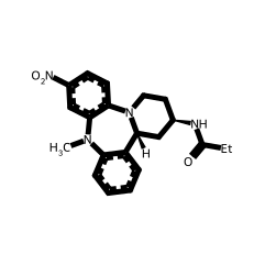 CCC(=O)N[C@@H]1CCN2c3ccc([N+](=O)[O-])cc3N(C)c3ccccc3[C@H]2C1